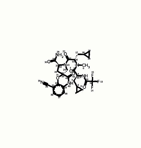 CN(C(=O)[C@H](CC1CC1)NC(=O)C(F)(F)F)[C@@H](CC1CC1)C(=O)N1C[C@@]2(C[C@H]1C(N)=O)Oc1c(C#N)cccc1NC2=O